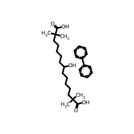 CC(C)(CCCCCC(O)CCCCCC(C)(C)C(=O)O)C(=O)O.c1ccc(-c2ccccc2)cc1